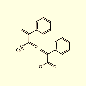 C=C(C(=O)[O-])c1ccccc1.C=C(C(=O)[O-])c1ccccc1.[Ca+2]